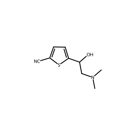 CN(C)CC(O)c1ccc(C#N)s1